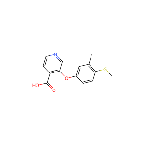 CSc1ccc(Oc2cnccc2C(=O)O)cc1C